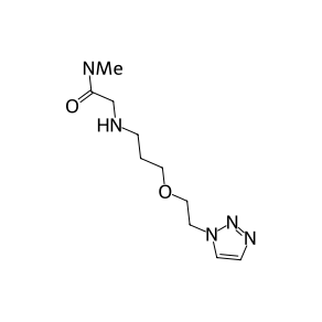 CNC(=O)CNCCCOCCn1ccnn1